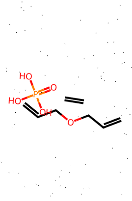 C=C.C=CCOCC=C.O=P(O)(O)O